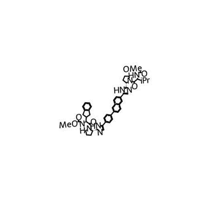 COC(=O)NC(C(=O)N1CCC[C@H]1c1ncc(-c2ccc3cc(-c4ccc(-c5cnc([C@@H]6CCCN6C(=O)[C@@H](NC(=O)OC)C6Cc7ccccc7C6)[nH]5)cc4)ccc3c2)[nH]1)C(C)C